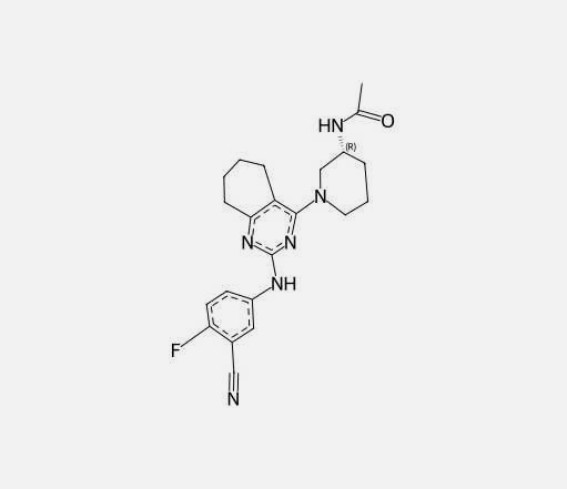 CC(=O)N[C@@H]1CCCN(c2nc(Nc3ccc(F)c(C#N)c3)nc3c2CCCC3)C1